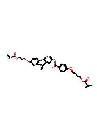 C=C(C)C(=O)OCCCCOc1ccc(C(=O)Oc2ccc3c(c2)C(C)c2cc(OCCCOC(=O)C(=C)F)ccc2-3)cc1